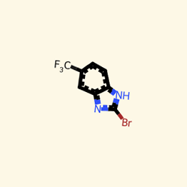 FC(F)(F)c1ccc2[nH]c(Br)nc2c1